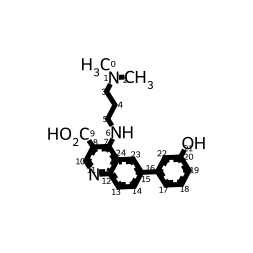 CN(C)CCCNc1c(C(=O)O)cnc2ccc(-c3cccc(O)c3)cc12